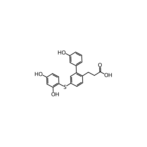 O=C(O)CCc1ccc(Sc2ccc(O)cc2O)cc1-c1cccc(O)c1